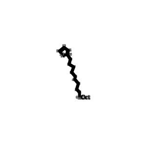 CCCCCCCCCCCCCCCCCC1=CC=C[N]1